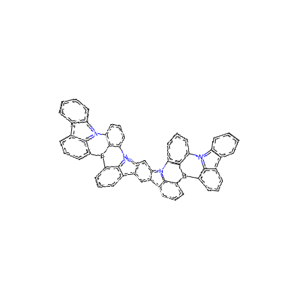 c1cc2c3c(c1)-n1c4cc5c(cc4c4cccc(c41)B3c1cccc3c4ccccc4n-2c13)c1cccc2c1n5-c1cccc3c1B2c1cccc2c4ccccc4n-3c12